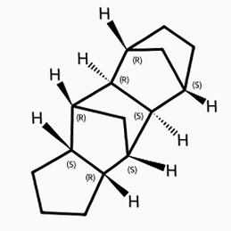 C1C[C@@H]2[C@H](C1)[C@H]1C[C@@H]2[C@@H]2[C@H]3CC[C@H](C3)[C@H]12